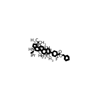 C=C(C)[C@@H]1CC[C@]2(NCCC(C)C)CC[C@]3(C)[C@H](CCC4[C@@]5(C)CC=C(C6=CC[C@](CF)(C(=O)OCc7ccccc7)CC6)C(C)(C)[C@@H]5CC[C@]43C)[C@@H]12